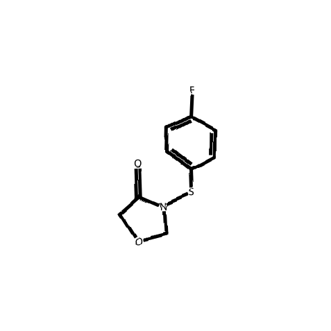 O=C1COCN1Sc1ccc(F)cc1